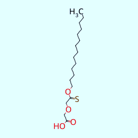 CCCCCCCCCCCCCCOC(=S)COCC(=O)O